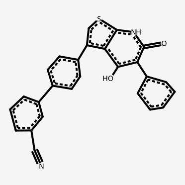 N#Cc1cccc(-c2ccc(-c3csc4[nH]c(=O)c(-c5ccccc5)c(O)c34)cc2)c1